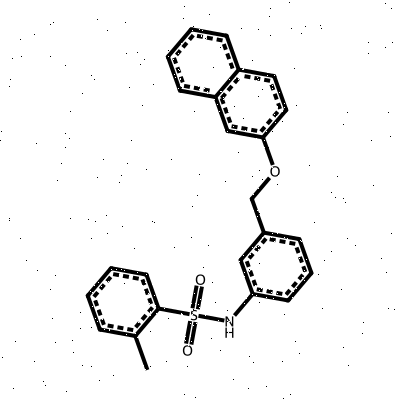 Cc1ccccc1S(=O)(=O)Nc1cccc(COc2ccc3ccccc3c2)c1